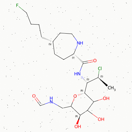 C[C@H](Cl)[C@@H](NC(=O)[C@@H]1CC[C@H](CCCCF)CCN1)[C@H]1OC(CNC=O)[C@H](O)C(O)C1O